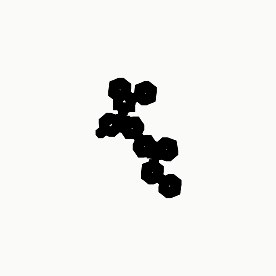 CC1C=Cc2c(c3cc(-c4ccc5c(c4)c4ccccc4n5-c4cccc(-c5ccccc5)c4)ccc3n2-c2nc(-c3ccccc3)c3ccccc3n2)C1